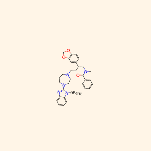 CCCCCn1c(N2CCCN(CCC(CN(C)C(=O)c3ccccc3)c3ccc4c(c3)OCO4)CC2)nc2ccccc21